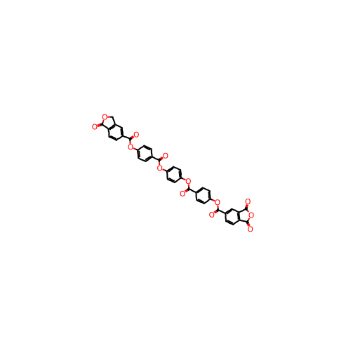 O=C(Oc1ccc(OC(=O)c2ccc(OC(=O)c3ccc4c(c3)C(=O)OC4=O)cc2)cc1)c1ccc(OC(=O)c2ccc3c(c2)COC3=O)cc1